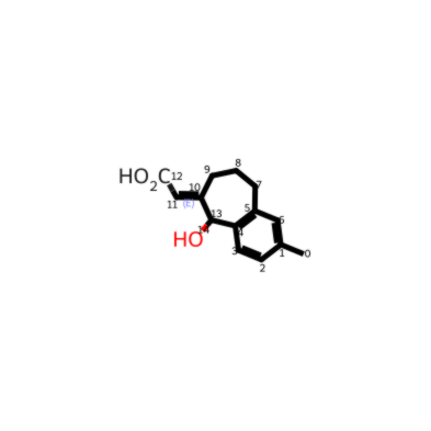 Cc1ccc2c(c1)CCC/C(=C\C(=O)O)C2O